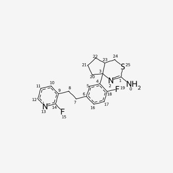 NC1=NC2(c3cc(CCc4cccnc4F)ccc3F)CCCC2CS1